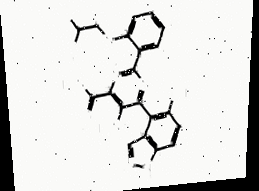 Cc1ccc2[nH]ncc2c1-c1nc(-c2ccccc2NCC(F)F)nc(C(N)=O)c1N